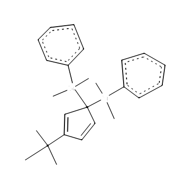 CC(C)(C)C1=CC([Si](C)(C)c2ccccc2)([Si](C)(C)c2ccccc2)C=C1